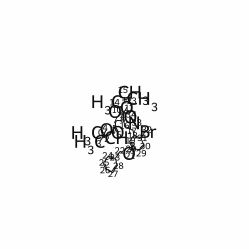 CC(C)(C)OC(=O)CC1(C(=O)OC(C)(C)C)CC(c2cc(OCc3ccccc3)ccc2Br)=NO1